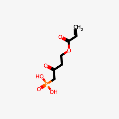 C=CC(=O)OCCC(=O)CP(=O)(O)O